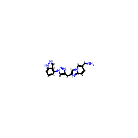 NCc1ccc2nc(Cc3cn(-c4cccc5[nH]ncc45)nn3)cn2c1